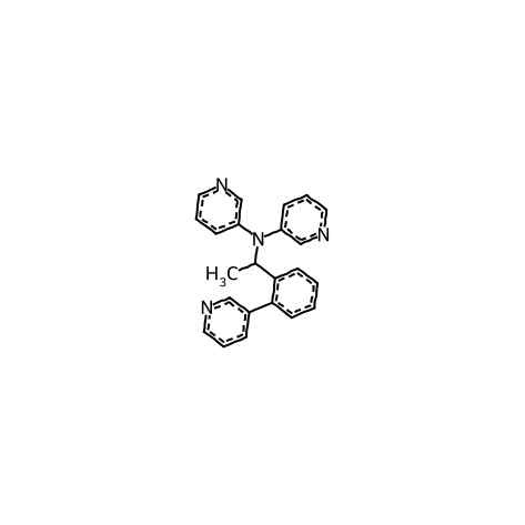 CC(c1ccccc1-c1cccnc1)N(c1cccnc1)c1cccnc1